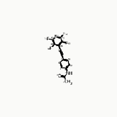 CC(=O)Nc1ccc(C#Cc2c(F)c(F)nc(F)c2F)cc1